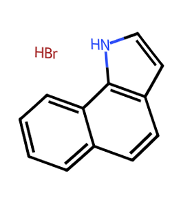 Br.c1ccc2c(c1)ccc1cc[nH]c12